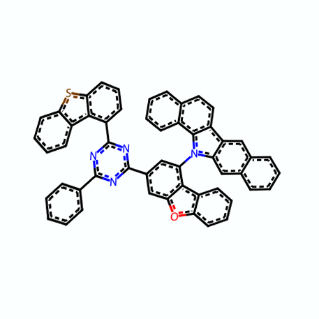 c1ccc(-c2nc(-c3cc(-n4c5cc6ccccc6cc5c5ccc6ccccc6c54)c4c(c3)oc3ccccc34)nc(-c3cccc4sc5ccccc5c34)n2)cc1